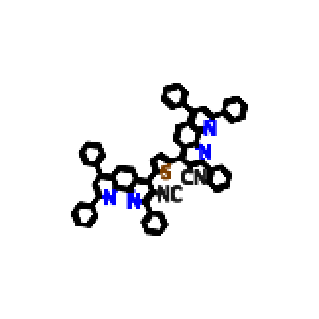 [C-]#[N+]c1c(-c2ccccc2)nc2c(ccc3c(-c4ccccc4)cc(-c4ccccc4)nc32)c1-c1ccc(-c2c(C#N)c(-c3ccccc3)nc3c2ccc2c(-c4ccccc4)cc(-c4ccccc4)nc23)s1